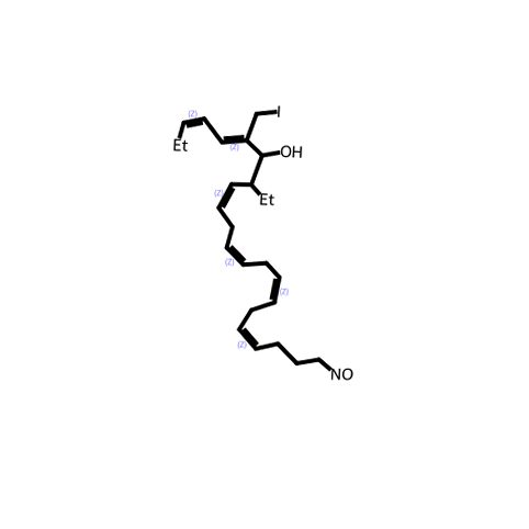 CC/C=C\C=C(/CI)C(O)C(/C=C\C/C=C\C/C=C\C/C=C\CCCN=O)CC